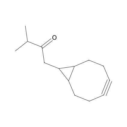 CC(C)C(=O)CC1C2CCC#CCCC21